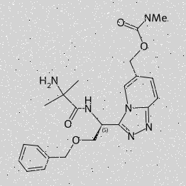 CNC(=O)OCc1ccc2nnc([C@@H](COCc3ccccc3)NC(=O)C(C)(C)N)n2c1